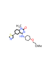 COCCO[C@H]1CC[C@@H](Nc2nc(=O)n(C)c3ccc(-c4cncs4)cc23)CC1